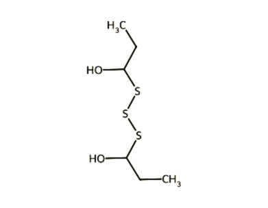 CCC(O)SSSC(O)CC